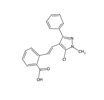 Cn1nc(-c2ccccc2)c(C=Cc2ccccc2C(=O)O)c1Cl